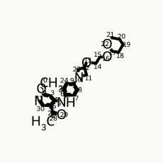 COc1cc(Nc2ccc(N3CC(OCCOC4CCCCO4)C3)cc2)c(C(C)=O)cn1